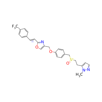 Cn1nccc1CC[S+]([O-])Cc1ccc(OCc2coc(/C=C/c3ccc(C(F)(F)F)cc3)n2)cc1